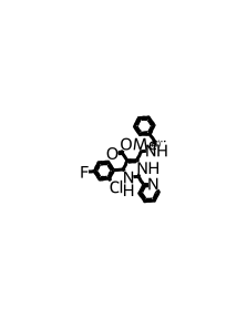 COC(=O)C1=C(CN[C@@H](C)c2ccccc2)NC(c2ccccn2)NC1c1ccc(F)cc1Cl